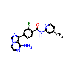 Nc1nccn2cnc(-c3ccc(C(=O)Nc4cc(C(F)(F)F)ccn4)c(F)c3)c12